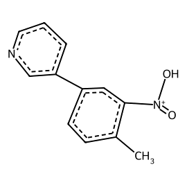 Cc1ccc(-c2cccnc2)cc1[N+](=O)O